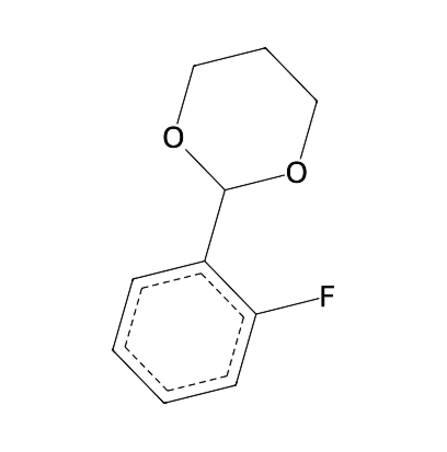 Fc1ccccc1C1OCCCO1